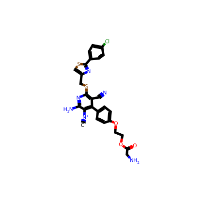 [C-]#[N+]c1c(N)nc(SCc2csc(-c3ccc(Cl)cc3)n2)c(C#N)c1-c1ccc(OCCOC(=O)CN)cc1